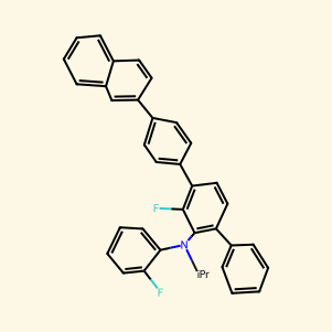 CC(C)N(c1ccccc1F)c1c(-c2ccccc2)ccc(-c2ccc(-c3ccc4ccccc4c3)cc2)c1F